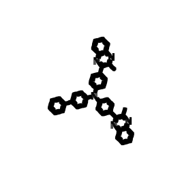 Cc1nc2ccccc2nc1-c1ccc(N(c2ccc(-c3ccccc3)cc2)c2ccc(-c3nc4ccccc4nc3C)cc2)cc1